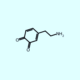 NCCC1=CC(=O)C(=O)C=C1